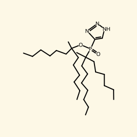 CCCCCCCC(C)(CCCCCC)P(=O)(OC(C)(CCCCCC)CCCCCC)c1c[nH]nn1